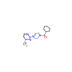 O=C(c1ccccc1)N1CCN(c2nccc(C(F)(F)F)n2)CC1